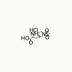 CS(=O)(=O)N1CCC(CC(N)C(=O)O)C1.Cl